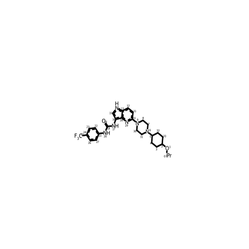 CC(C)OC1CCC(N2CCN(c3ccc4[nH]cc(NC(=O)Nc5ccc(C(F)(F)F)cc5)c4n3)CC2)CC1